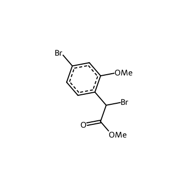 COC(=O)C(Br)c1ccc(Br)cc1OC